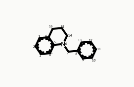 [c]1cccc2c1N(Cc1ccccc1)CCC2